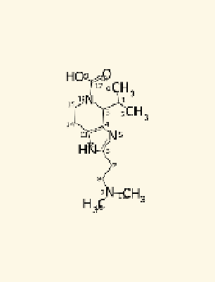 CC(C)C1c2nc(CCN(C)C)[nH]c2CCN1C(=O)O